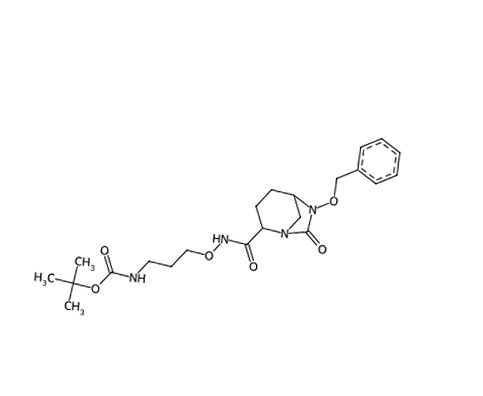 CC(C)(C)OC(=O)NCCCONC(=O)C1CCC2CN1C(=O)N2OCc1ccccc1